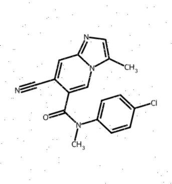 Cc1cnc2cc(C#N)c(C(=O)N(C)c3ccc(Cl)cc3)cn12